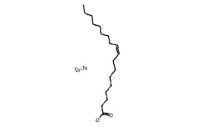 CCCCCCCC/C=C\CCCCCCCC(=O)[O-].[Cu+].[Fe]